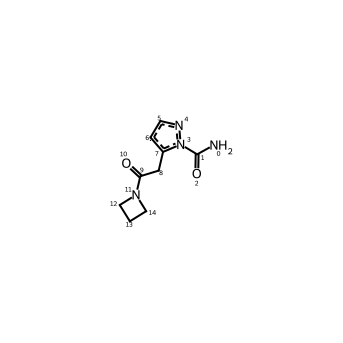 NC(=O)n1nc[c]c1CC(=O)N1CCC1